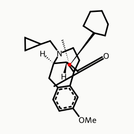 COc1ccc2c(c1)C13CCN(CC4CC4)[C@H](C2)[C@@H]1[C@@H](C)[C@@H](C1CCCCC1)C(=O)C3